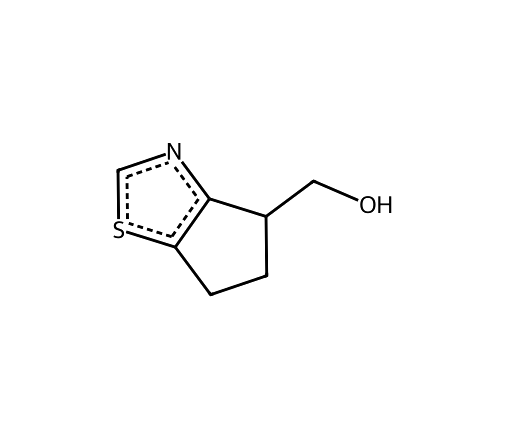 OCC1CCc2scnc21